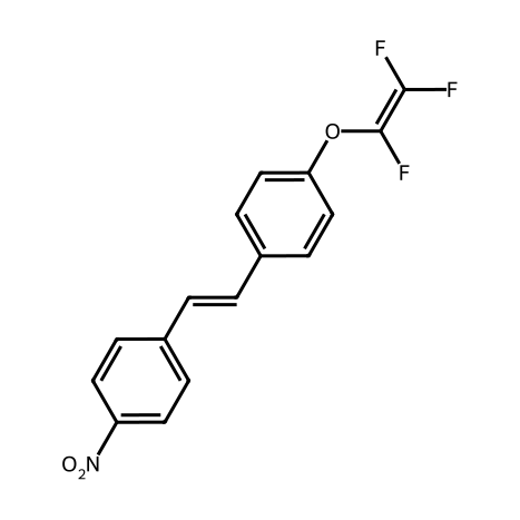 O=[N+]([O-])c1ccc(C=Cc2ccc(OC(F)=C(F)F)cc2)cc1